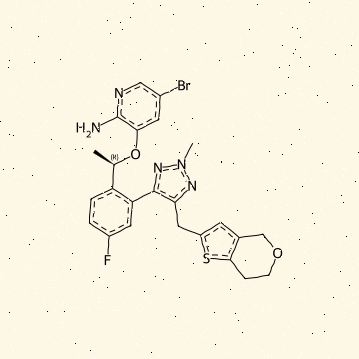 C[C@@H](Oc1cc(Br)cnc1N)c1ccc(F)cc1-c1nn(C)nc1Cc1cc2c(s1)CCOC2